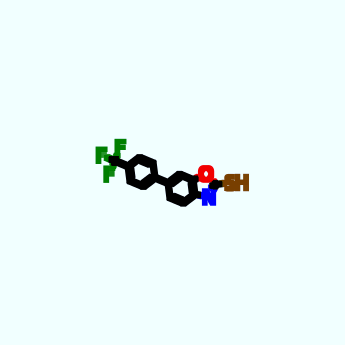 FC(F)(F)c1ccc(-c2ccc3nc(S)oc3c2)cc1